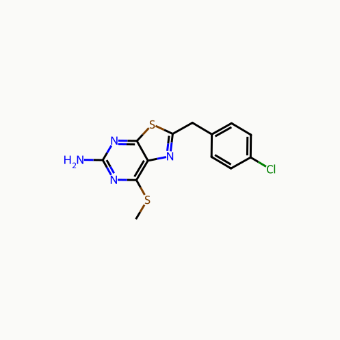 CSc1nc(N)nc2sc(Cc3ccc(Cl)cc3)nc12